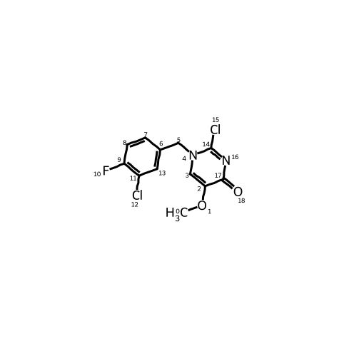 COc1cn(Cc2ccc(F)c(Cl)c2)c(Cl)nc1=O